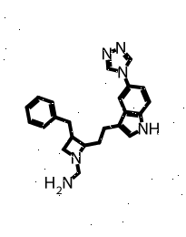 NCN1CC(Cc2ccccc2)C1CCc1c[nH]c2ccc(-n3cnnc3)cc12